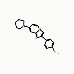 Cc1ccc(-c2cn3ccc(N4CCCCC4)cc3n2)cc1